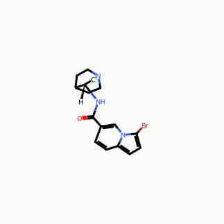 O=C(N[C@H]1CN2CCC1CC2)c1ccc2ccc(Br)n2c1